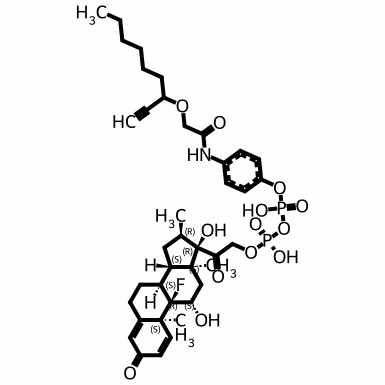 C#CC(CCCCCC)OCC(=O)Nc1ccc(OP(=O)(O)OP(=O)(O)OCC(=O)[C@@]2(O)[C@H](C)C[C@H]3[C@@H]4CCC5=CC(=O)C=C[C@]5(C)[C@@]4(F)[C@@H](O)C[C@@]32C)cc1